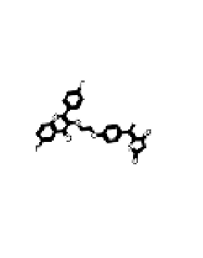 C/C(=C1/SC(=O)CC1=O)c1ccc(OCCOc2c(-c3ccc(F)cc3)oc3ccc(F)cc3c2=O)cc1